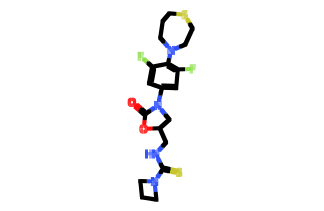 O=C1OC(CNC(=S)N2CCC2)CN1c1cc(F)c(N2CCCSCC2)c(F)c1